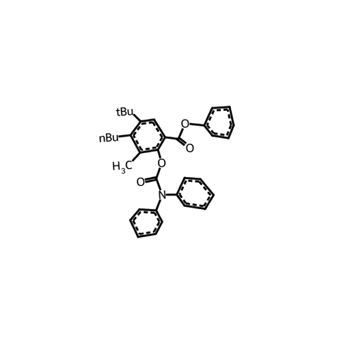 CCCCc1c(C(C)(C)C)cc(C(=O)Oc2ccccc2)c(OC(=O)N(c2ccccc2)c2ccccc2)c1C